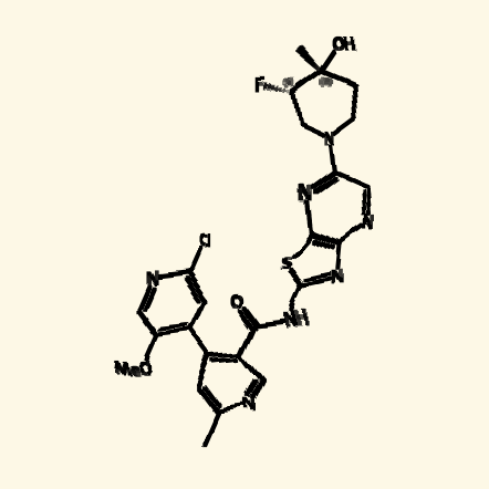 COc1cnc(Cl)cc1-c1cc(C)ncc1C(=O)Nc1nc2ncc(N3CC[C@@](C)(O)[C@@H](F)C3)nc2s1